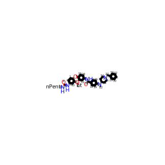 CCCCCNC(=O)Nc1ccc(Oc2ccc(NC(=O)c3ccc(N(C)C4CCN(Cc5ccccc5)CC4)cc3)cc2)c(OCC)c1